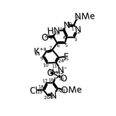 CNc1ncc2cc(-c3cccc([N-]S(=O)(=O)c4cc(Cl)cnc4OC)c3F)c(=O)[nH]c2n1.[K+]